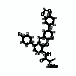 CNC(C)C(=O)Nc1ncc(-c2ccc(F)cc2)n(Cc2cncc(-c3ccc4c(c3)OCO4)c2)c1=O